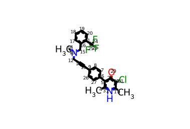 Cc1[nH]c(C)c(-c2ccc(C#CCN(C)Cc3ccccc3C(F)(F)F)cc2)c(=O)c1Cl